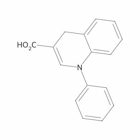 O=C(O)C1=CN(c2ccccc2)c2ccccc2C1